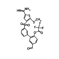 CSc1sc(C(=N)N)cc1S(=O)(=O)c1cccc(-c2cc(C=O)ccc2OC(=O)C(F)(F)F)c1